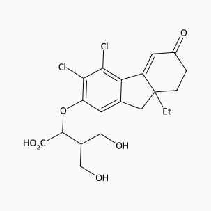 CCC12CCC(=O)C=C1c1c(cc(OC(C(=O)O)C(CO)CO)c(Cl)c1Cl)C2